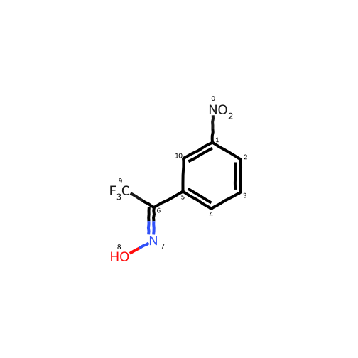 O=[N+]([O-])c1cccc(C(=NO)C(F)(F)F)c1